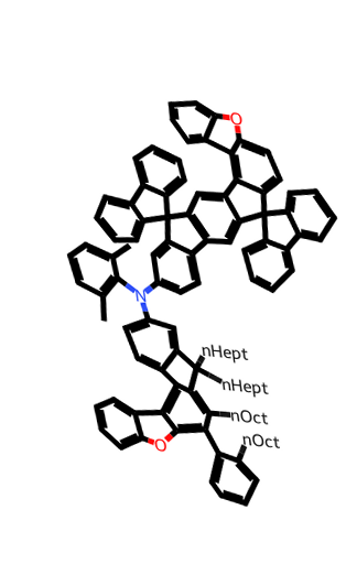 CCCCCCCCc1ccccc1-c1c(CCCCCCCC)c2c(c3c1oc1ccccc13)-c1ccc(N(c3ccc4c(c3)C3(c5ccccc5-c5ccccc53)c3cc5c(cc3-4)C3(c4ccccc4-c4ccccc43)c3ccc4oc6ccccc6c4c3-5)c3c(C)cccc3C)cc1C2(CCCCCCC)CCCCCCC